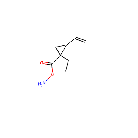 C=CC1CC1(CC)C(=O)ON